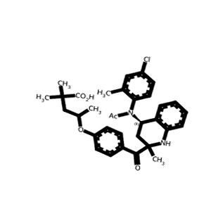 CC(=O)N(c1ccc(Cl)cc1C)[C@@H]1CC(C)(C(=O)c2ccc(OC(C)CC(C)(C)C(=O)O)cc2)Nc2ccccc21